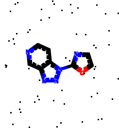 c1cc2c(cn1)nnn2-c1ncco1